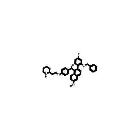 COc1ccc2c(C(O)c3ccc(OCCC4CCCCN4)cc3)c(-c3ccc(F)cc3OCc3ccccc3)ccc2c1